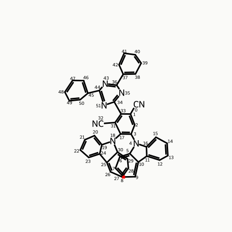 N#Cc1cc(-n2c3ccccc3c3ccccc32)c(-n2c3ccccc3c3ccccc32)c(C#N)c1-c1nc(-c2ccccc2)nc(-c2ccccc2)n1